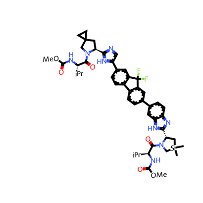 COC(=O)N[C@H](C(=O)N1CC2(CC2)C[C@H]1c1ncc(-c2ccc3c(c2)C(F)(F)c2cc(-c4ccc5nc([C@@H]6C[Si](C)(C)CN6C(=O)[C@@H](NC(=O)OC)C(C)C)[nH]c5c4)ccc2-3)[nH]1)C(C)C